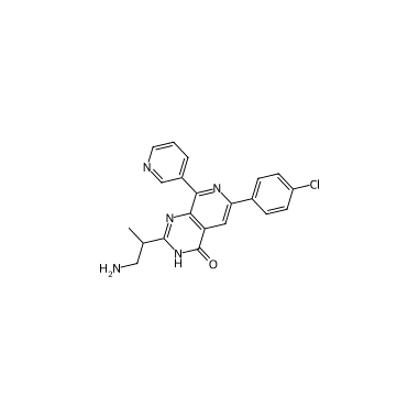 CC(CN)c1nc2c(-c3cccnc3)nc(-c3ccc(Cl)cc3)cc2c(=O)[nH]1